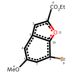 CCOC(=O)c1cc2cc(OC)cc(Br)c2o1